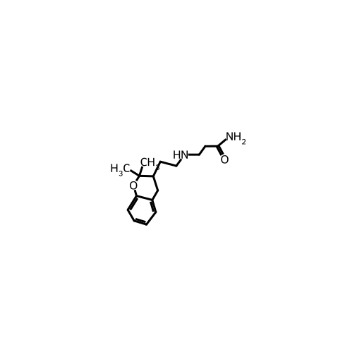 CC1(C)Oc2ccccc2CC1CCNCCC(N)=O